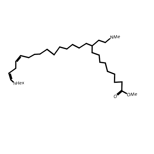 CCCCCC/C=C\C/C=C\CCCCCCCCCCC(CCCCCCCCC(=O)OC)CCNC